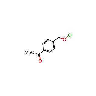 COC(=O)c1ccc(COCl)cc1